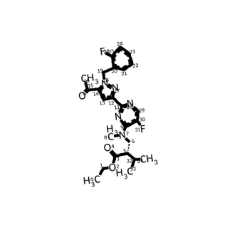 CCOC(=O)[C@H](CN(C)c1nc(-c2cc(C(C)=O)n(Cc3ccccc3F)n2)ncc1F)C(C)C